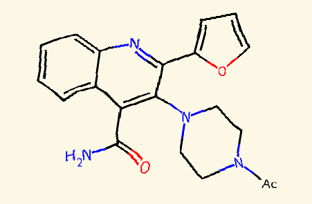 CC(=O)N1CCN(c2c(-c3ccco3)nc3ccccc3c2C(N)=O)CC1